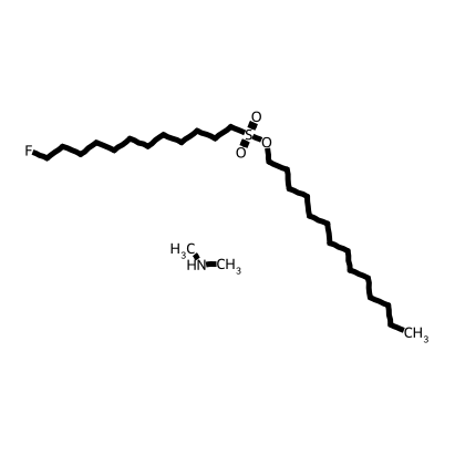 CCCCCCCCCCCCCCOS(=O)(=O)CCCCCCCCCCCCF.CNC